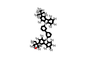 [2H]CC(c1c([2H])c([2H])c2c(c1[2H])c1c([2H])c([2H])c([2H])c([2H])c1n2-c1cccc(-c2cccc(-n3c4c([2H])c([2H])c([2H])c([2H])c4c4c([2H])c(C(C[2H])(C([2H])([2H])[2H])C([2H])([2H])[2H])c([2H])c([2H])c43)c2)c1)(C([2H])([2H])[2H])C([2H])([2H])[2H]